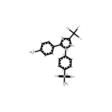 Cc1ccc(-c2nc(C(F)(F)F)nn2-c2ccc(S(C)(=O)=O)cc2)cc1